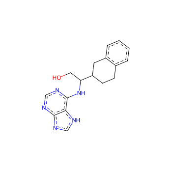 OCC(Nc1ncnc2nc[nH]c12)C1CCc2ccccc2C1